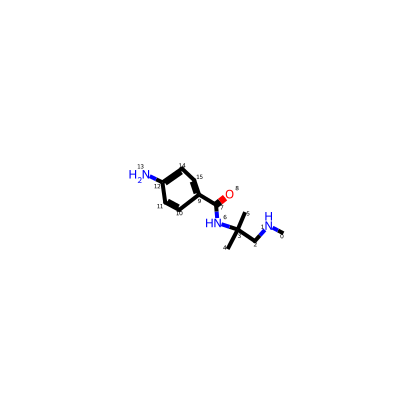 CNCC(C)(C)NC(=O)c1ccc(N)cc1